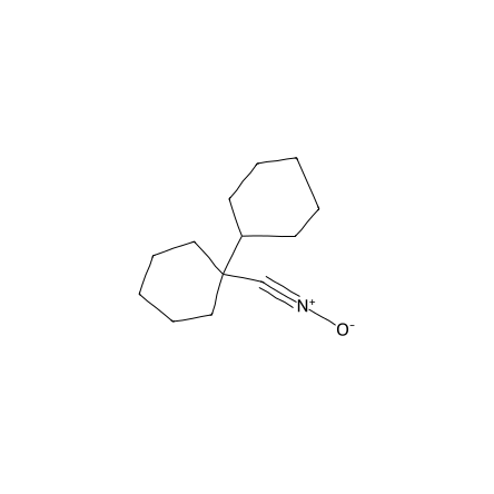 [O-][N+]#CC1(C2CCCCC2)CCCCC1